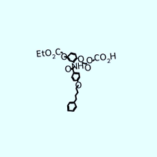 CCOC(=O)COc1ccc(OCC(=O)OCC(=O)O)c(NC(=O)c2ccc(OCCCCc3ccccc3)cc2)c1